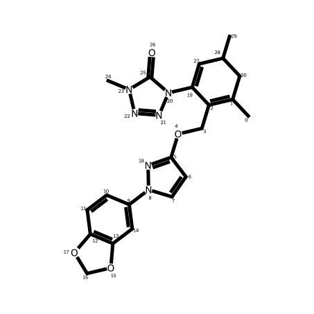 CC1=C(COc2ccn(-c3ccc4c(c3)OCO4)n2)C(n2nnn(C)c2=O)=CC(C)C1